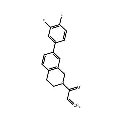 C=CC(=O)N1CCc2ccc(-c3ccc(F)c(F)c3)cc2C1